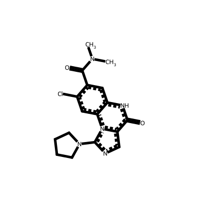 CN(C)C(=O)c1cc2[nH]c(=O)c3cnc(N4CCCC4)n3c2cc1Cl